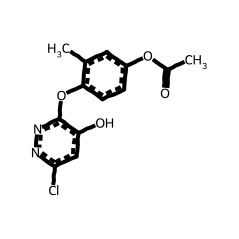 CC(=O)Oc1ccc(Oc2nnc(Cl)cc2O)c(C)c1